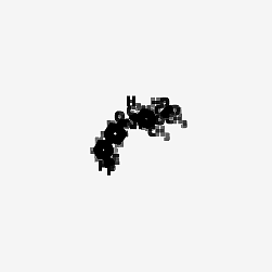 Cc1cc(C(C)NC(=O)c2ccc(-c3cccc(C(F)(F)F)c3)cc2)ccc1OC(C)(C)C(=O)O